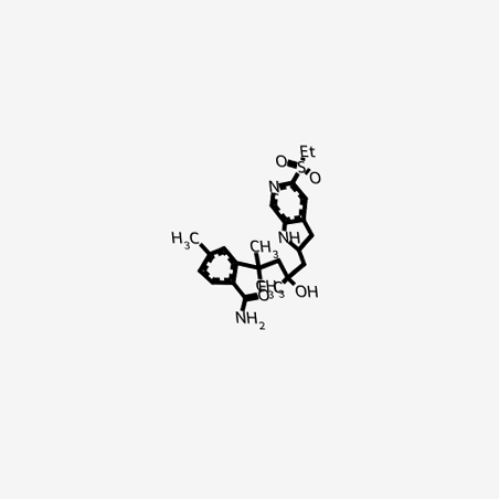 CCS(=O)(=O)c1cc2c(cn1)NC(CC(O)(CC(C)(C)c1cc(C)ccc1C(N)=O)C(F)(F)F)C2